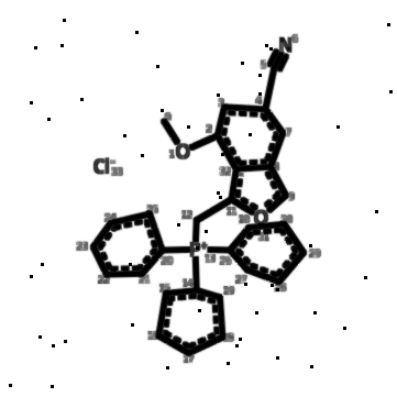 COc1cc(C#N)cc2coc(C[P+](c3ccccc3)(c3ccccc3)c3ccccc3)c12.[Cl-]